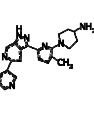 Cc1ccc(-c2n[nH]c3cnc(-c4cccnc4)cc23)nc1N1CCC(N)CC1